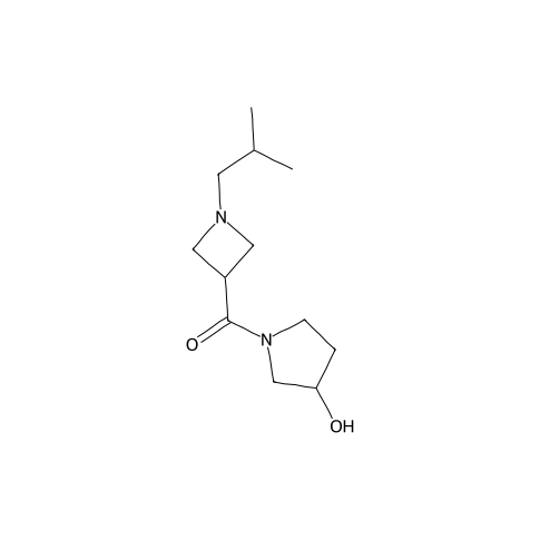 CC(C)CN1CC(C(=O)N2CCC(O)C2)C1